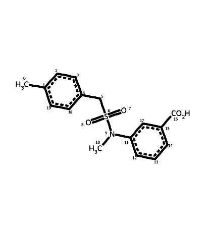 Cc1ccc(CS(=O)(=O)N(C)c2cccc(C(=O)O)c2)cc1